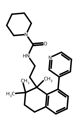 CC1(C)CCc2cccc(-c3cccnc3)c2C1(C)CCNC(=O)N1CCCCC1